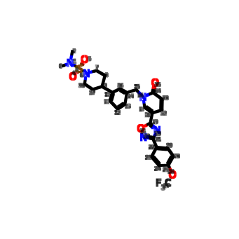 CN(C)S(=O)(=O)N1CCC(c2cccc(Cn3cc(-c4nc(-c5ccc(OC(F)(F)F)cc5)no4)ccc3=O)c2)CC1